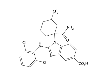 NC(=O)C1(n2c(Nc3c(Cl)cccc3Cl)nc3cc(C(=O)O)ccc32)CCCC(C(F)(F)F)C1